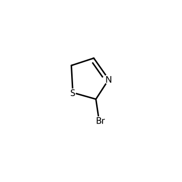 BrC1N=CCS1